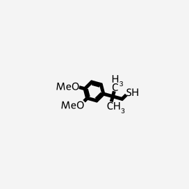 COc1ccc(C(C)(C)CS)cc1OC